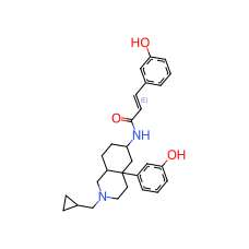 O=C(/C=C/c1cccc(O)c1)NC1CCC2CN(CC3CC3)CCC2(c2cccc(O)c2)C1